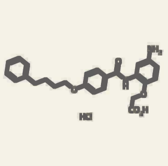 Cl.Nc1ccc(OCC(=O)O)c(NC(=O)c2ccc(OCCCCc3ccccc3)cc2)c1